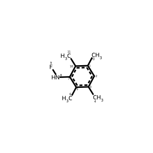 Cc1cc(C)c(C)c(NF)c1C